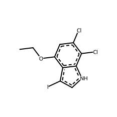 CCOc1cc(Cl)c(Cl)c2[nH]cc(I)c12